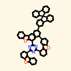 c1cc(-c2ccc3c(c2)-c2ccccc2C32c3ccccc3-c3ccccc32)cc(-c2ccc3oc4cccc(-c5nc(-c6cccc7c6oc6ccccc67)nc(-c6cccc7oc8ccccc8c67)n5)c4c3c2)c1